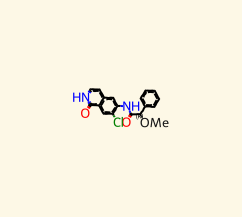 CO[C@@H](C(=O)Nc1cc2cc[nH]c(=O)c2cc1Cl)c1ccccc1